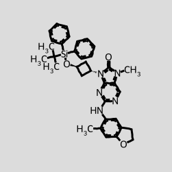 Cc1cc2c(cc1Nc1ncc3c(n1)n([C@H]1C[C@H](O[Si](c4ccccc4)(c4ccccc4)C(C)(C)C)C1)c(=O)n3C)CCO2